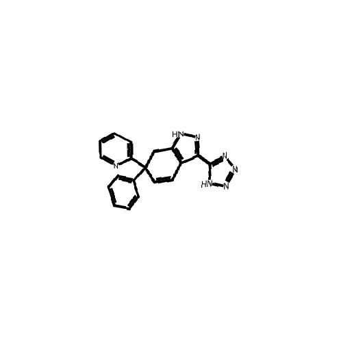 C1=CC(c2ccccc2)(c2ccccn2)Cc2[nH]nc(-c3nnn[nH]3)c21